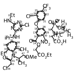 CCNc1nc(Cl)nc(NC(C)C)n1.CCOC(=O)COC(=O)c1cc(Oc2ccc(C(F)(F)F)cc2Cl)ccc1[N+](=O)[O-].CCc1cccc(C)c1N(C(=O)CCl)C(C)COC.C[S+](C)C.O=C(O)CNCP(=O)([O-])O